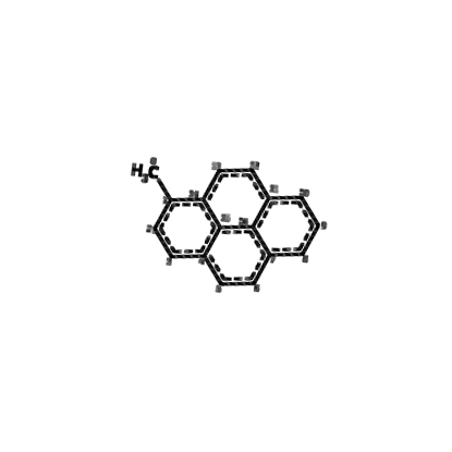 Cc1[c]cc2ccc3cccc4ccc1c2c34